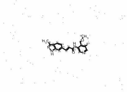 COCc1c(F)cncc1NC(=O)/C=C/c1ccc2c(C)n[nH]c2c1